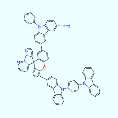 N#Cc1ccc2c(c1)c1cc(-c3ccc4c(c3)C3(c5cccnc5-c5ncccc53)c3cccc(-c5ccc6c(c5)c5ccccc5n6-c5ccc(-n6c7ccccc7c7ccccc76)cc5)c3O4)ccc1n2-c1ccccc1